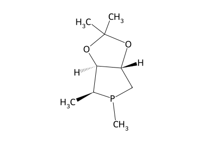 C[C@H]1[C@H]2OC(C)(C)O[C@@H]2CP1C